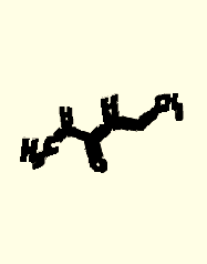 CBC(=O)NCC